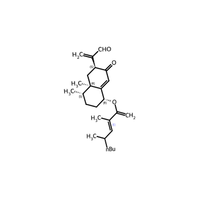 C=C(O[C@@H]1CC[C@H](C)[C@@]2(C)C[C@@H](C(=C)C=O)C(=O)C=C12)/C(C)=C/C(C)CCCC